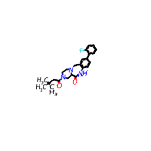 CC(C)(C)CC(=O)N1CCN2Cc3cc(-c4ccccc4F)ccc3NC(=O)C2C1